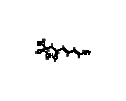 CC(C)C=CC=CC(=O)CP(=O)(O)O